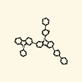 c1ccc(-c2ccc(-c3ccc4c(c3)c3ccc(-c5ccc6c7ccccc7n(-c7ccccc7)c6c5)cc3n4-c3ccc(-c4ccccc4)cc3)cc2)cc1